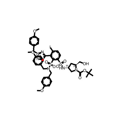 COc1ccc(CN(Cc2ccc(OC)cc2)S(=O)(=O)c2c(S(=O)(=O)N[C@@H]3C[C@@H](CO)N(C(=O)OC(C)(C)C)C3)ccc(I)c2-c2nnn(Cc3ccc(OC)cc3)n2)cc1